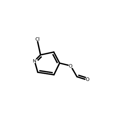 O=COc1ccnc(Cl)c1